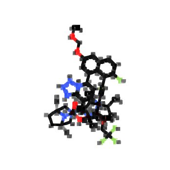 COCOc1cc(-c2c(F)c3nc(OCC(F)(F)F)nc(N4C[C@H]5CC[C@@H](C4)N5C(=O)OC(C)(C)C)c3c3nnnn23)c2c(C#C[Si](C(C)C)(C(C)C)C(C)C)c(F)ccc2c1